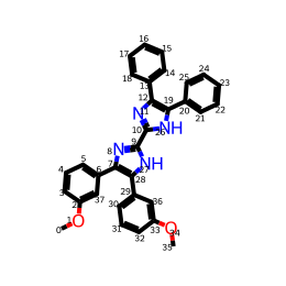 COc1cccc(-c2nc(-c3nc(-c4ccccc4)c(-c4ccccc4)[nH]3)[nH]c2-c2cccc(OC)c2)c1